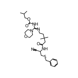 CC(C)COC(=O)NC(=NCCC(C)(C)CC(=O)NC(C#N)CSCc1ccccc1)N1CCOCC1